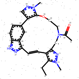 CCc1c2c(nn1C)CN(C(C)=O)CCOc1c(cnn1C)-c1ccc3[nH]nc(c3c1)/C=C/2